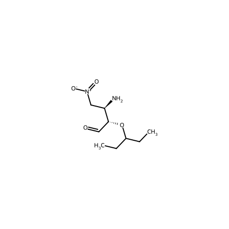 CCC(CC)O[C@H](C=O)[C@H](N)C[N+](=O)[O-]